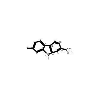 Cc1ccc2c(c1)[nH]c1cc(C(F)(F)F)ccc12